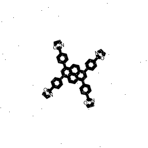 c1coc(-c2ccc(-c3cc(-c4ccc(-c5ncco5)cc4)c4ccc5c(-c6ccc(-c7ncco7)cc6)cc(-c6ccc(-c7ncco7)cc6)c6ccc3c4c65)cc2)n1